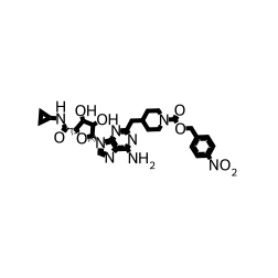 Nc1nc(CC2CCN(C(=O)OCc3ccc([N+](=O)[O-])cc3)CC2)nc2c1ncn2[C@@H]1O[C@H](C(=O)NC2CC2)C(O)C1O